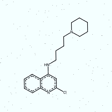 Clc1cc(NCCCCN2CCCCC2)c2ccccc2n1